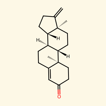 C=C1CC[C@H]2[C@@H]3CCC4=CC(=O)CC[C@]4(C)[C@H]3CC[C@]12C